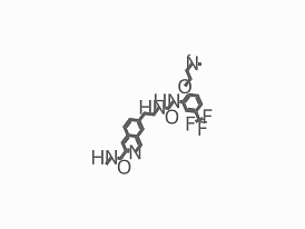 CNC(=O)c1cc2ccc(CCNC(=O)Nc3cc(C(F)(F)F)ccc3OCCN(C)C)cc2cn1